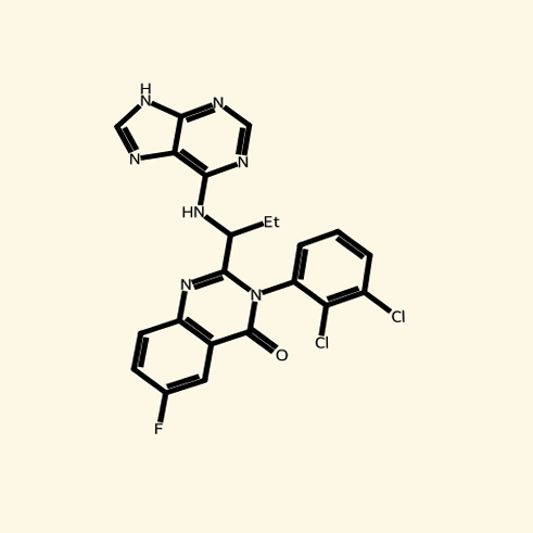 CCC(Nc1ncnc2[nH]cnc12)c1nc2ccc(F)cc2c(=O)n1-c1cccc(Cl)c1Cl